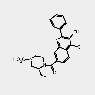 Cc1c(-c2ccccc2)nc2cc(C(=O)N3CCN(C(=O)O)C[C@@H]3C)ccc2c1Cl